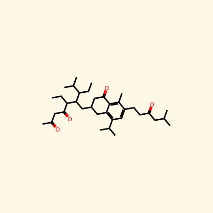 CCC(C(=O)CC(C)=O)C(CC1CC(=O)c2c(C)c(CCC(=O)CC(C)C)cc(C(C)C)c2C1)C(CC)C(C)C